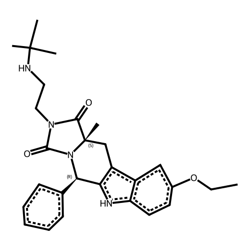 CCOc1ccc2[nH]c3c(c2c1)C[C@@]1(C)C(=O)N(CCNC(C)(C)C)C(=O)N1[C@@H]3c1ccccc1